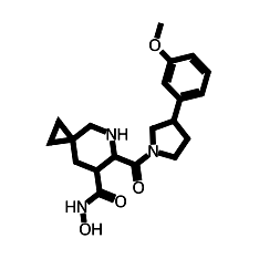 COc1cccc(C2CCN(C(=O)C3NCC4(CC4)CC3C(=O)NO)C2)c1